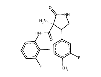 B[C@]1(C(=O)Nc2cccc(F)c2F)C(=O)NC[C@@H]1c1ccc(C)c(F)c1